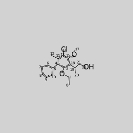 CCOc1c(-c2ccccc2)c(C)c(Cl)c(OC)c1C(C)CO